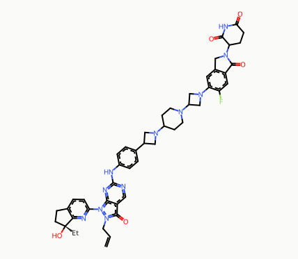 C=CCn1c(=O)c2cnc(Nc3ccc(C4CN(C5CCN(C6CN(c7cc8c(cc7F)C(=O)N(C7CCC(=O)NC7=O)C8)C6)CC5)C4)cc3)nc2n1-c1ccc2c(n1)[C@@](O)(CC)CC2